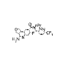 CCCN(Cc1ccc(C(F)(F)F)nn1)C(=O)c1cc2c3c(c(N)nc2cc1F)COC3